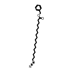 [N-]=[N+]=NCCCCCCCCCCCCCCCCCC(=O)OCc1ccccc1